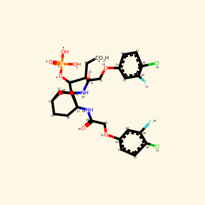 O=C(O)CCC(OP(=O)(O)O)C1(NC(=O)COc2ccc(Cl)c(F)c2)CC2CCC1(NC(=O)COc1ccc(Cl)c(F)c1)CC2